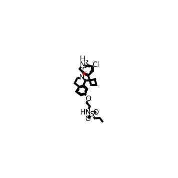 CCCS(=O)(=O)NCCOc1ccc2c(c1)C(C1(c3cccc(Cl)c3)CCC1)N(CCN)CC2